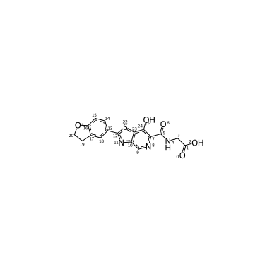 O=C(O)CNC(=O)c1ncc2nc(-c3ccc4c(c3)CCO4)sc2c1O